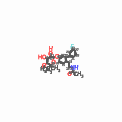 COC1C(O)C(O)C(Oc2ccc(CCNC(C)=O)c(-c3cccc(F)c3)c2)OC1(C)C